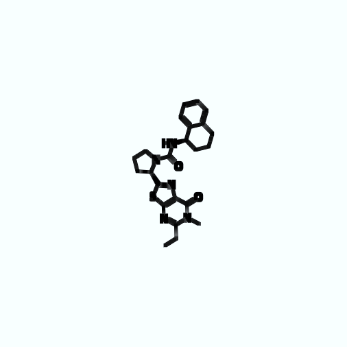 CCc1nc2sc([C@H]3CCCN3C(=O)N[C@@H]3CCCc4ccccc43)nc2c(=O)n1C